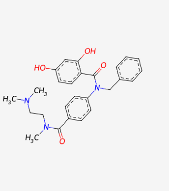 CN(C)CCN(C)C(=O)c1ccc(N(Cc2ccccc2)C(=O)c2ccc(O)cc2O)cc1